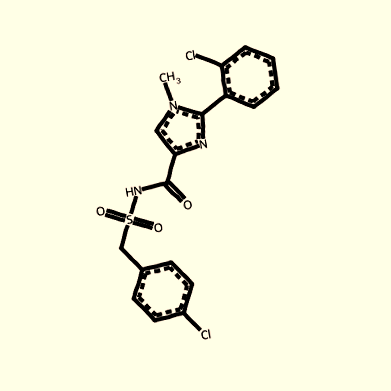 Cn1cc(C(=O)NS(=O)(=O)Cc2ccc(Cl)cc2)nc1-c1ccccc1Cl